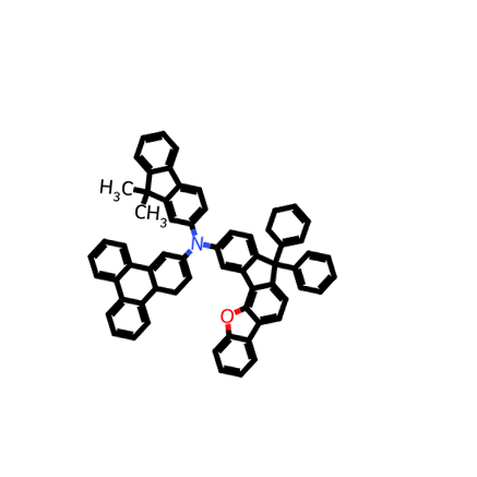 CC1(C)c2ccccc2-c2ccc(N(C3=CCC4C(=C3)c3ccccc3-c3ccccc34)c3ccc4c(c3)-c3c(ccc5c3oc3ccccc35)C4(C3=CC=CCC3)c3ccccc3)cc21